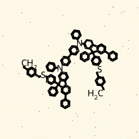 C=Cc1ccc(CSc2ccc(C3(c4ccccc4)C4=C(CCC(N(c5ccccc5)c5ccc(-c6ccc(N(c7ccccc7)c7ccc8c(c7)C(c7ccccc7)(c7ccc(SCc9ccc(C=C)cc9)cc7)c7cc(-c9ccccc9)ccc7-8)cc6)cc5)=C4)c4ccc(-c5ccccc5)cc43)cc2)cc1